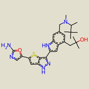 CC(N(C)Cc1cc(CC(C)(C)O)c2cc(-c3n[nH]c4cc(-c5cnc(N)o5)sc34)[nH]c2c1)C(C)(C)C